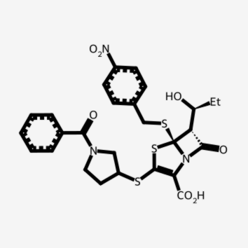 CC[C@H](O)[C@@H]1C(=O)N2C(C(=O)O)=C(SC3CCN(C(=O)c4ccccc4)C3)S[C@]12SCc1ccc([N+](=O)[O-])cc1